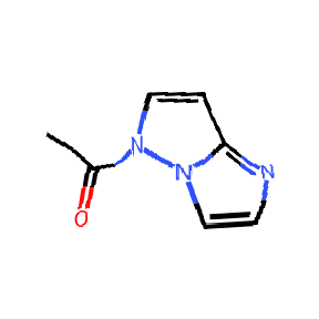 CC(=O)n1ccc2nccn21